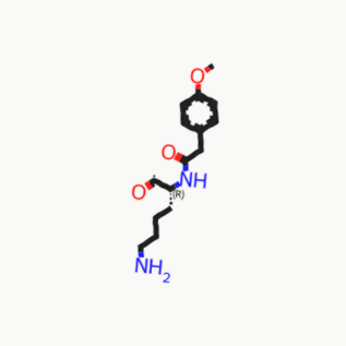 COc1ccc(CC(=O)N[C@@H]([C]=O)CCCCN)cc1